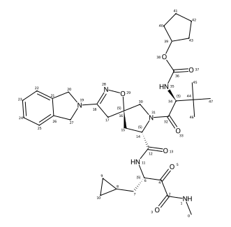 CNC(=O)C(=O)[C@H](CC1CC1)NC(=O)[C@@H]1C[C@]2(CC(N3Cc4ccccc4C3)=NO2)CN1C(=O)[C@@H](NC(=O)OC1CCCC1)C(C)(C)C